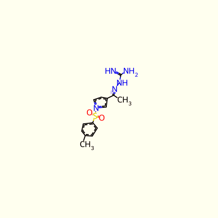 C/C(=N\NC(=N)N)c1ccn(S(=O)(=O)c2ccc(C)cc2)c1